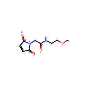 COCCNC(=O)CN1C(=O)C=CC1=O